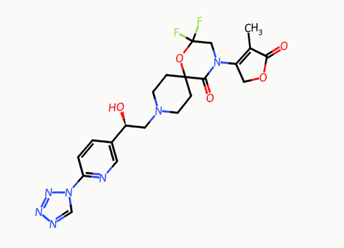 CC1=C(N2CC(F)(F)OC3(CCN(C[C@H](O)c4ccc(-n5cnnn5)nc4)CC3)C2=O)COC1=O